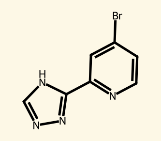 Brc1ccnc(-c2nnc[nH]2)c1